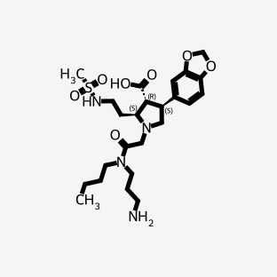 CCCCN(CCCN)C(=O)CN1C[C@H](c2ccc3c(c2)OCO3)[C@@H](C(=O)O)[C@@H]1CCNS(C)(=O)=O